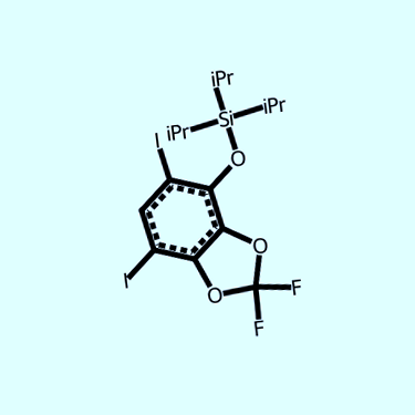 CC(C)[Si](Oc1c(I)cc(I)c2c1OC(F)(F)O2)(C(C)C)C(C)C